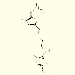 Cc1cc(CSCCNc2nc(N)nn2C)sc1CN(C)C